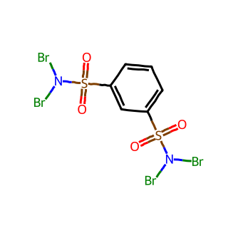 O=S(=O)(c1cccc(S(=O)(=O)N(Br)Br)c1)N(Br)Br